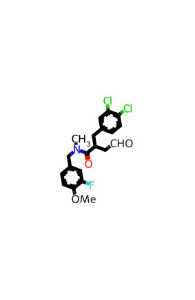 COc1ccc(CN(C)C(=O)C(CC=O)Cc2ccc(Cl)c(Cl)c2)cc1F